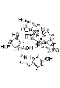 CC(Cc1ccc(O)cc1)NCC(O)c1cc(O)cc(O)c1.C[C@]12C=CC(=O)C=C1CC[C@@H]1[C@@H]2C(=O)C[C@@]2(C)[C@H]1CC[C@]2(O)C(=O)CO